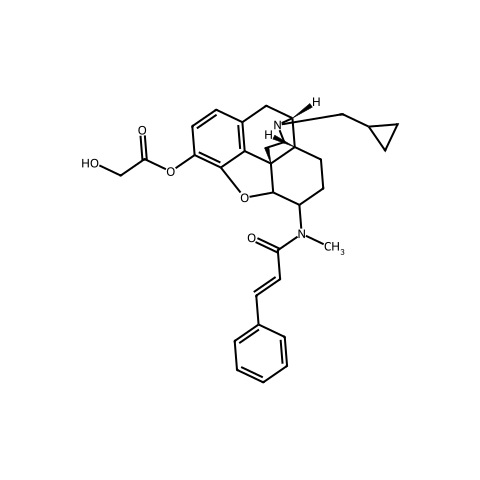 CN(C(=O)/C=C/c1ccccc1)C1CC[C@H]2[C@H]3Cc4ccc(OC(=O)CO)c5c4[C@@]2(CCN3CC2CC2)C1O5